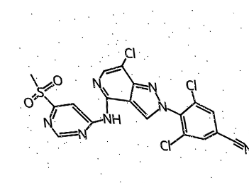 CS(=O)(=O)c1cc(Nc2ncc(Cl)c3nn(-c4c(Cl)cc(C#N)cc4Cl)cc23)ncn1